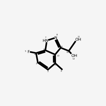 Cc1ccc(F)c2[nH]nc(C(O)O)c12